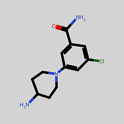 NC(=O)c1cc(Cl)cc(N2CCC(N)CC2)c1